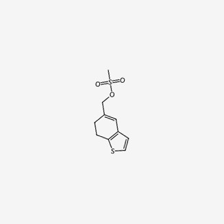 CS(=O)(=O)OCC1=Cc2ccsc2CC1